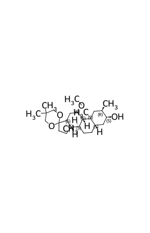 CO[C@H]1C[C@@]2(C)[C@@H](CCC23OCC(C)(C)CO3)[C@@H]2CC[C@H]3C[C@H](O)[C@H](C)C[C@]3(C)[C@H]21